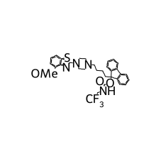 COc1cccc2sc(N3CCN(CCCCC4(OC(=O)NCC(F)(F)F)c5ccccc5-c5ccccc54)CC3)nc12